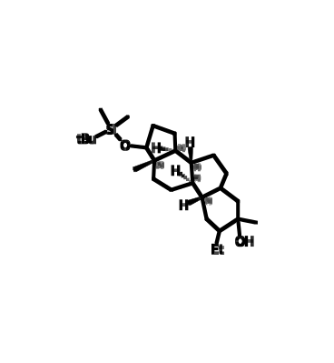 CCC1C[C@H]2C(CC[C@@H]3[C@@H]2CC[C@]2(C)C(O[Si](C)(C)C(C)(C)C)CC[C@@H]32)CC1(C)O